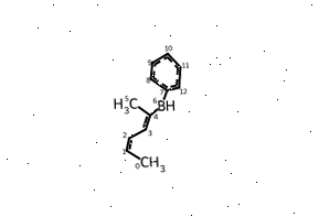 C/C=C\C=C(/C)Bc1ccccc1